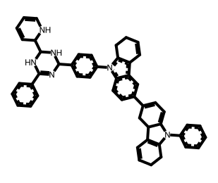 C1=CNC(C2NC(c3ccccc3)=NC(c3ccc(-n4c5c(c6cc(C7=CC=C8C(C7)C7=C(CCC=C7)N8c7ccccc7)ccc64)C=CCC5)cc3)N2)C=C1